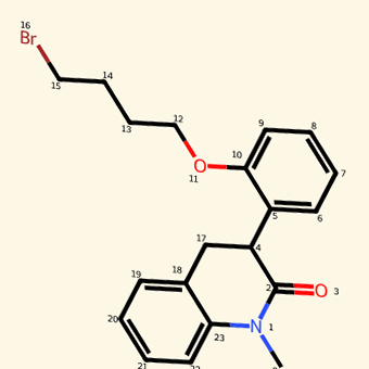 CN1C(=O)C(c2ccccc2OCCCCBr)Cc2ccccc21